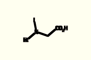 CCN(I)CC(=O)O